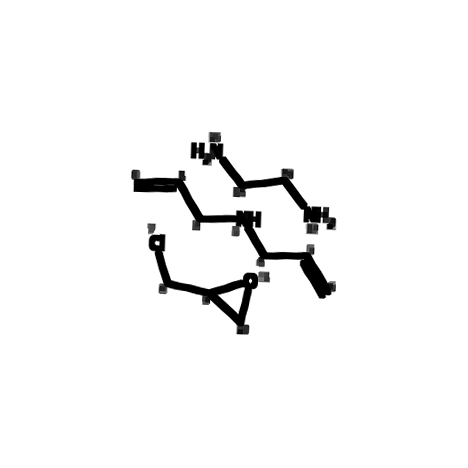 C=CCNCC=C.ClCC1CO1.NCCN